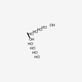 CO.Cl.Cl.Cl.Cl.Cl.Cl.Cl.Cl.Cl